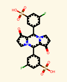 O=c1ccn2c(-c3cc(F)cc(S(=O)(=O)O)c3)c3c(=O)ccn3c(-c3cc(F)cc(S(=O)(=O)O)c3)c12